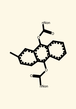 CCCCCCCCCC(=O)Oc1c2ccccc2c(OC(=O)CCCCCCCCC)c2cc(C)ccc12